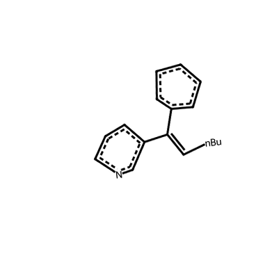 CCCC/C=C(\c1ccccc1)c1cccnc1